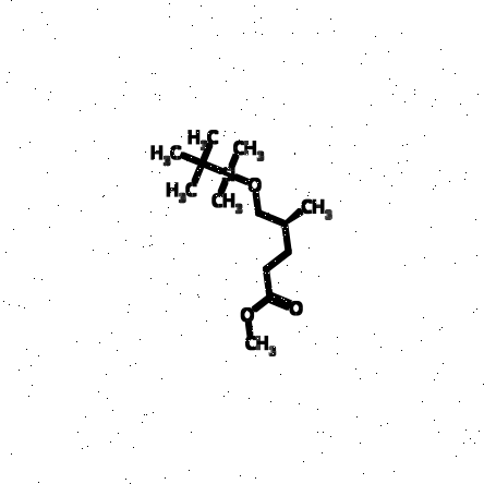 COC(=O)CC[C@H](C)CO[Si](C)(C)C(C)(C)C